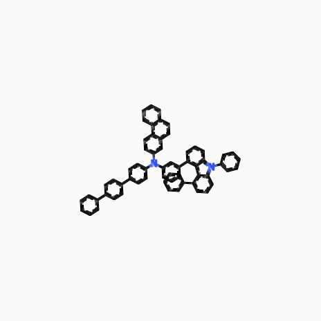 c1ccc(-c2ccc(-c3ccc(N(c4cccc(-c5cccc6c5c5c(-c7ccccc7)cccc5n6-c5ccccc5)c4)c4ccc5c(ccc6ccccc65)c4)cc3)cc2)cc1